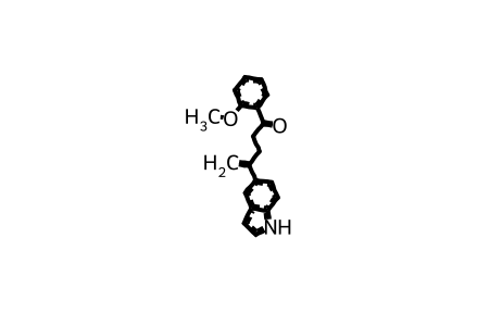 C=C(CCC(=O)c1ccccc1OC)c1ccc2[nH]ccc2c1